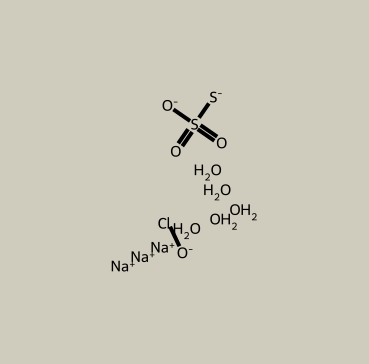 O.O.O.O.O.O=S(=O)([O-])[S-].[Na+].[Na+].[Na+].[O-]Cl